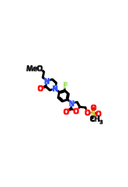 COCCN1CCN(c2ccc(N3CC(COS(C)(=O)=O)OC3=O)cc2F)CC1=O